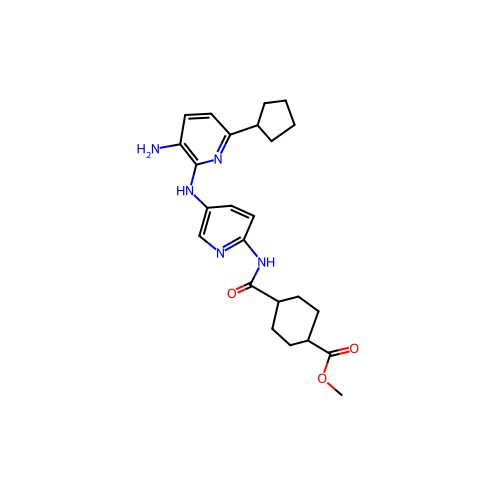 COC(=O)C1CCC(C(=O)Nc2ccc(Nc3nc(C4CCCC4)ccc3N)cn2)CC1